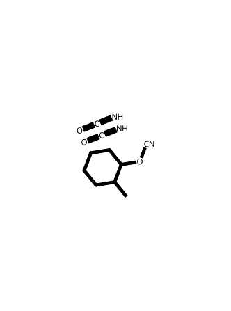 CC1CCCCC1OC#N.N=C=O.N=C=O